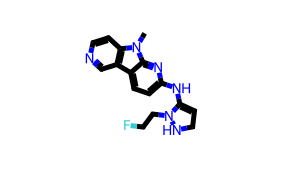 Cn1c2ccncc2c2ccc(NC3=CCNN3CCF)nc21